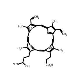 C=CC1=C(C)c2cc3[nH]c(cc4nc(cc5[nH]c(cc1n2)c(C)c5CCC(=O)O)C(CCC(O)NC)=C4C)c(C)c3C=C